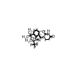 CC(n1nc(N2CCC(=O)NC2=O)c2cccc(C(C)(C)C)c21)C(F)(F)F